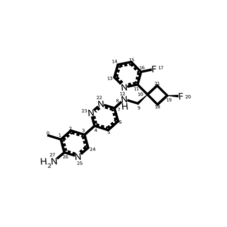 Cc1cc(-c2ccc(NC[C@]3(c4ncccc4F)C[C@H](F)C3)nn2)cnc1N